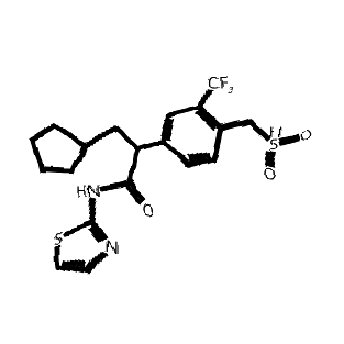 O=C(Nc1nccs1)C(CC1CCCC1)c1ccc(C[SH](=O)=O)c(C(F)(F)F)c1